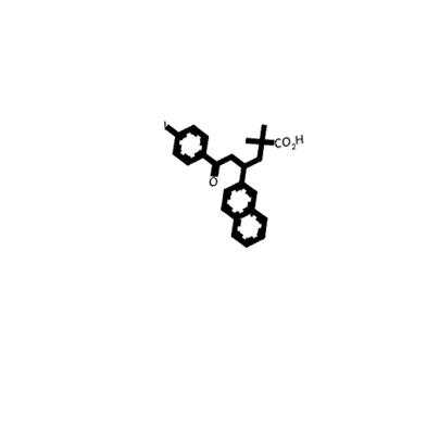 CC(C)(CC(CC(=O)c1ccc(I)cc1)c1ccc2ccccc2c1)C(=O)O